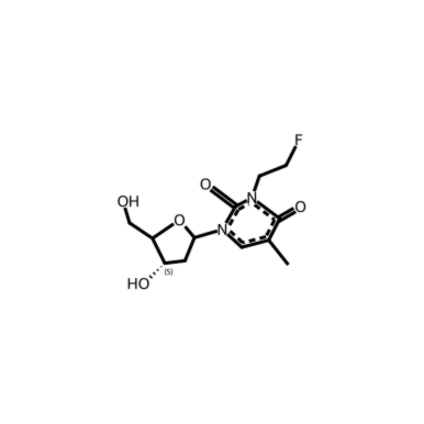 Cc1cn(C2C[C@H](O)C(CO)O2)c(=O)n(CCF)c1=O